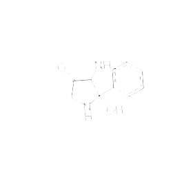 NC1C(=O)CNC1(O)c1ccccc1